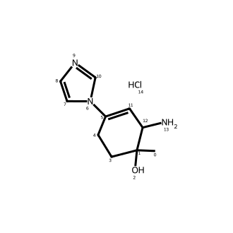 CC1(O)CCC(n2ccnc2)=CC1N.Cl